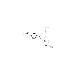 FC(F)(F)Oc1ccc(C2CC(c3nc(C4CC4)cs3)CN(C3COCC[N]3)C2)cc1